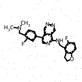 CN(C)Cc1ccc(-c2cnc(NCc3c(F)ccc4c3CCO4)c3cnncc23)cc1F